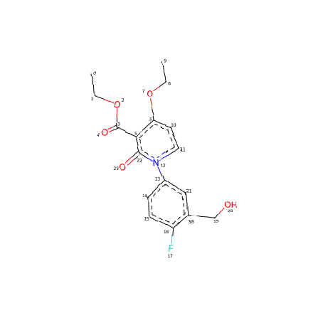 CCOC(=O)c1c(OCC)ccn(-c2ccc(F)c(CO)c2)c1=O